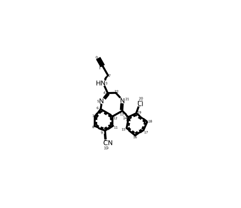 C#CCNC1=Nc2ccc(C#N)cc2C(c2ccccc2Cl)=NC1